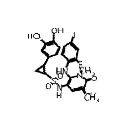 Cc1cc(NS(=O)(=O)C2CC2c2ccc(O)c(O)c2)c(Nc2ccc(I)cc2F)n(C)c1=O